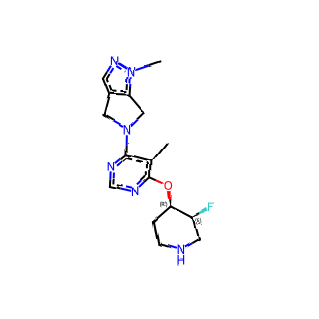 Cc1c(O[C@@H]2CCNC[C@@H]2F)ncnc1N1Cc2cnn(C)c2C1